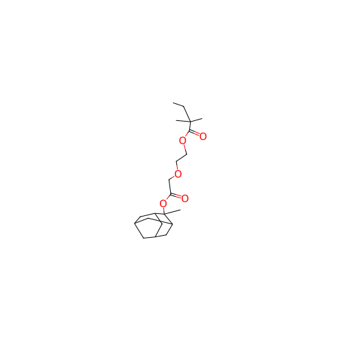 CCC(C)(C)C(=O)OCCOCC(=O)OC1(C)C2CC3CC(C2)CC1C3